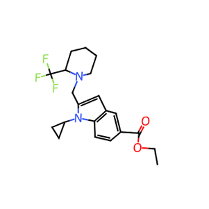 CCOC(=O)c1ccc2c(c1)cc(CN1CCCCC1C(F)(F)F)n2C1CC1